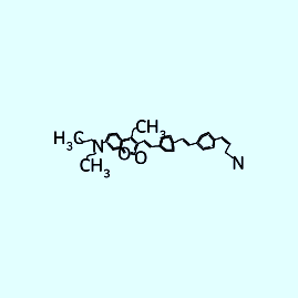 CCCN(CCC)c1ccc2c(CC)c(/C=C/c3ccc(/C=C/c4ccc(/C=C\CC#N)cc4)cc3)c(=O)oc2c1